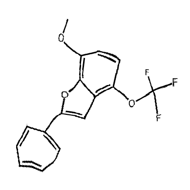 COc1ccc(OC(F)(F)F)c2cc(-c3[c]cccc3)oc12